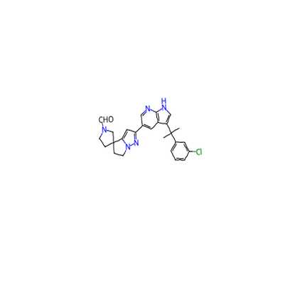 CC(C)(c1cccc(Cl)c1)c1c[nH]c2ncc(-c3cc4n(n3)CCC43CCN(C=O)C3)cc12